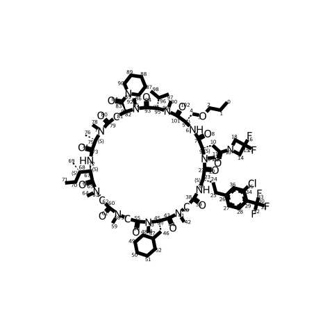 CCCOC[C@@H]1NC(=O)[C@H](CC(=O)N2CC(F)(F)C2)N(C)C(=O)[C@H](CCc2ccc(C(F)(F)F)c(Cl)c2)NC(=O)CN(C)C(=O)[C@H](CC2CCCCC2)N(C)C(=O)CN(C)C(=O)CN(C)C(=O)[C@H]([C@@H](C)CC)NC(=O)[C@H](C)N(C)C(=O)C[C@@H](C(=O)N2CCCCC2)N(C)C(=O)[C@H](C(C)C)N(C)C1=O